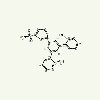 NS(=O)(=O)c1cccc(-c2nc(-c3ccccc3O)nc(-c3ccccc3O)n2)c1